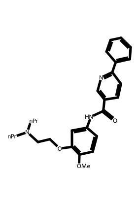 CCCN(CCC)CCOc1cc(NC(=O)c2ccc(-c3ccccc3)nc2)ccc1OC